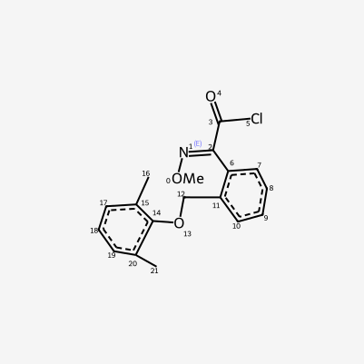 CO/N=C(/C(=O)Cl)c1ccccc1COc1c(C)cccc1C